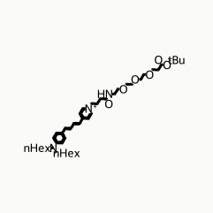 CCCCCCN(CCCCCC)c1ccc(/C=C/C=C/c2cc[n+](CCCC(=O)NCCOCCOCCOCCC(=O)OC(C)(C)C)cc2)cc1